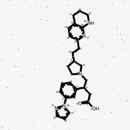 O=C(O)CC(CN1CCC(CCc2ccc3c(n2)NCCC3)C1)c1cccc(-n2cccn2)c1